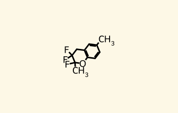 Cc1ccc2c(c1)CC(F)(F)C(C)(F)O2